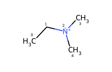 CC[N+](C)C